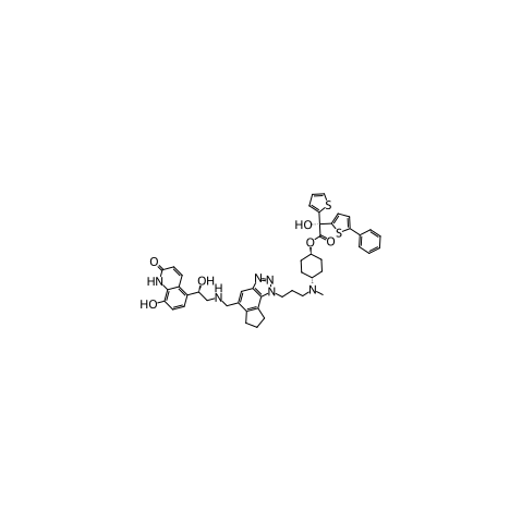 CN(CCCn1nnc2cc(CNC[C@H](O)c3ccc(O)c4[nH]c(=O)ccc34)c3c(c21)CCC3)[C@H]1CC[C@H](OC(=O)[C@@](O)(c2cccs2)c2ccc(-c3ccccc3)s2)CC1